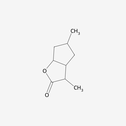 CC1CC2OC(=O)C(C)C2C1